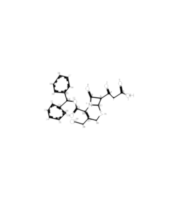 O=C(O)CC(=O)C1C(=O)N2C(C(=O)OC(c3ccccc3)c3ccccc3)=C(CCl)CSC12